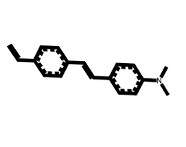 C=Cc1ccc(/C=C/c2ccc(N(C)C)cc2)cc1